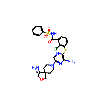 Nc1nc(N2CCC3(CC2)COC[C@H]3N)cnc1Sc1cccc(C(=O)NS(=O)(=O)c2ccccc2)c1Cl